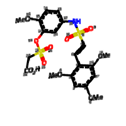 COc1cc(OC)c(C=CS(=O)(=O)Nc2ccc(OC)c(OS(=O)(=O)CC(=O)O)c2)c(OC)c1